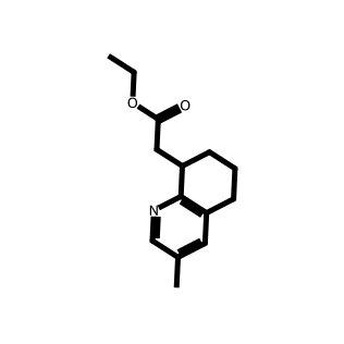 CCOC(=O)CC1CCCc2cc(C)cnc21